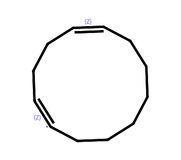 [C]1=C\CC/C=C\CCCCCC/1